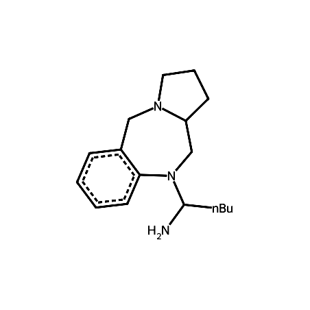 CCCCC(N)N1CC2CCCN2Cc2ccccc21